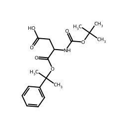 CC(C)(C)OC(=O)NC(CC(=O)O)C(=O)OC(C)(C)c1ccccc1